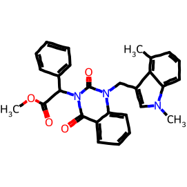 COC(=O)C(c1ccccc1)n1c(=O)c2ccccc2n(Cc2cn(C)c3cccc(C)c23)c1=O